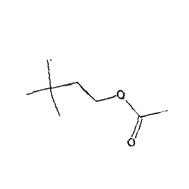 [CH2]C(C)(C)CCOC(C)=O